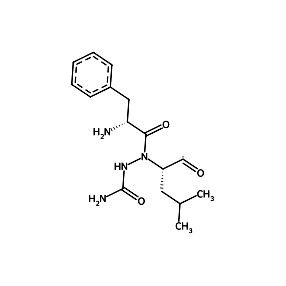 CC(C)C[C@@H]([C]=O)N(NC(N)=O)C(=O)[C@H](N)Cc1ccccc1